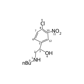 CCCCNCC(O)c1ccc(Cl)c([N+](=O)[O-])c1